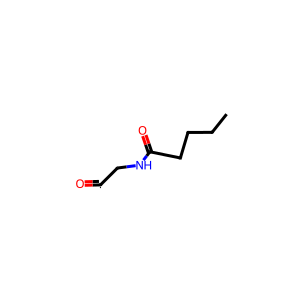 CCCCC(=O)NC[C]=O